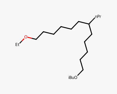 CCC[C](CCCCCCOCC)CCCCCOCC(C)C